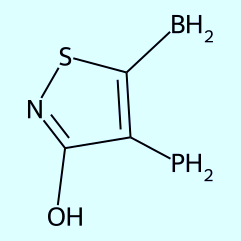 Bc1snc(O)c1P